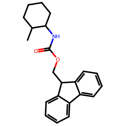 CC1CCCCC1NC(=O)OCC1c2ccccc2-c2ccccc21